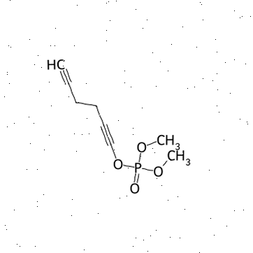 C#CCCC#COP(=O)(OC)OC